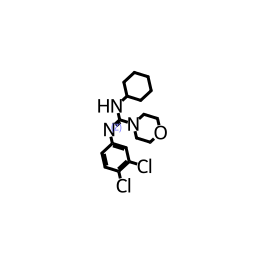 Clc1ccc(/N=C(/NC2CCCCC2)N2CCOCC2)cc1Cl